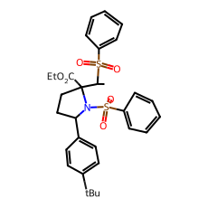 CCOC(=O)C1(C(C)S(=O)(=O)c2ccccc2)CCC(c2ccc(C(C)(C)C)cc2)N1S(=O)(=O)c1ccccc1